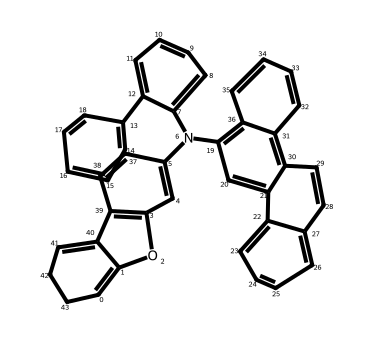 C1=c2oc3cc(N(c4ccccc4-c4ccccc4)c4cc5c6ccccc6ccc5c5ccccc45)ccc3c2=CCC1